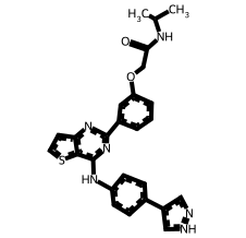 CC(C)NC(=O)COc1cccc(-c2nc(Nc3ccc(-c4cn[nH]c4)cc3)c3sccc3n2)c1